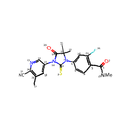 CNC(=O)c1ccc(N2C(=S)N(c3cnc(C#N)c(C)c3)C(=O)C2(C)C)cc1F